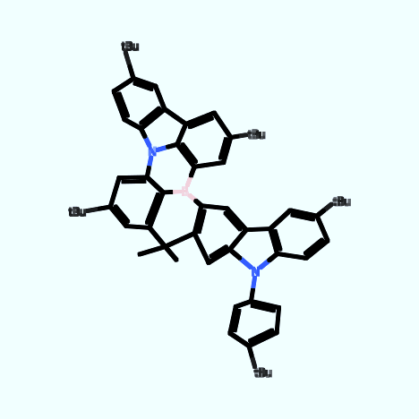 CC(C)(C)c1ccc(-n2c3ccc(C(C)(C)C)cc3c3cc4c(cc32)C(C)(C)c2cc(C(C)(C)C)cc3c2B4c2cc(C(C)(C)C)cc4c5cc(C(C)(C)C)ccc5n-3c24)cc1